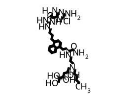 CCCCCCN(CCCN[C@@H](CCc1ccc(CCCCNC(=N)NC(=O)c2nc(Cl)c(N)nc2N)c2ccccc12)C(N)=O)C[C@H](O)C[C@H](O)[C@H](O)CO